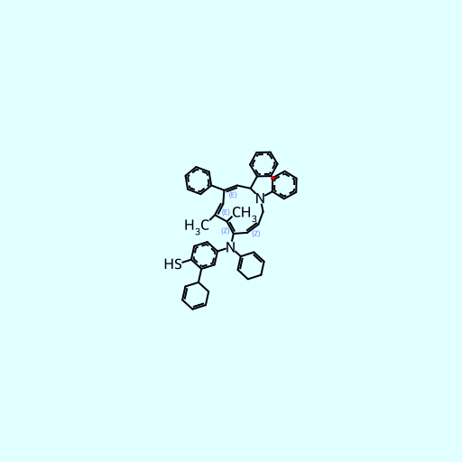 CC1=C(N(C2=CCCC=C2)c2ccc(S)c(C3C=CC=CC3)c2)\C=C/CN(c2ccccc2)C(c2ccccc2)/C=C(c2ccccc2)\C=C\1C